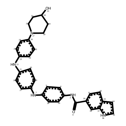 O=C(Nc1ccc(Nc2ccc(Nc3ccc(N4CCC(O)CC4)cc3)cc2)cc1)c1ccc2cc[nH]c2c1